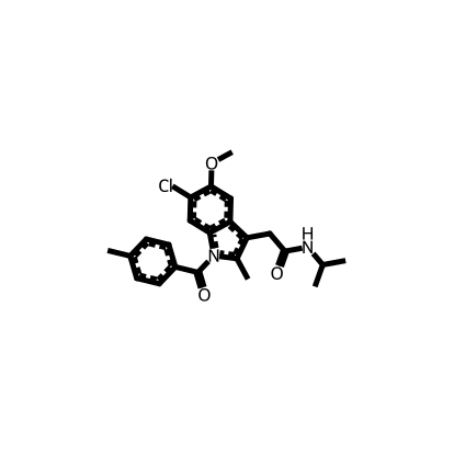 COc1cc2c(CC(=O)NC(C)C)c(C)n(C(=O)c3ccc(C)cc3)c2cc1Cl